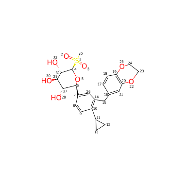 CS(=O)(=O)[C@H]1O[C@@H](c2ccc(C3CC3)c(Cc3ccc4c(c3)OCCO4)c2)[C@H](O)[C@@H](O)[C@@H]1O